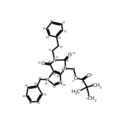 CC(C)(C)C(=O)OCn1c(=O)n(CCc2ccccc2)c(=O)c2c1ncn2Cc1ccccc1